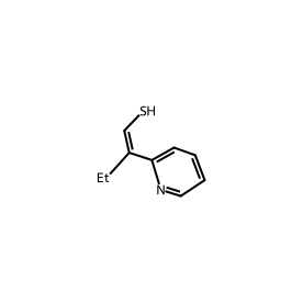 CC/C(=C/S)c1ccccn1